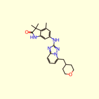 Cc1cc(Nc2nc3cccc(CC4CCOCC4)n3n2)cc2c1C(C)(C)C(=O)N2